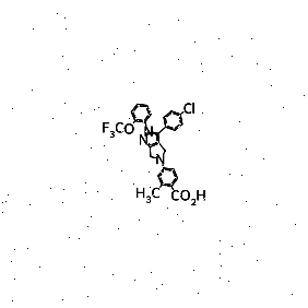 Cc1cc(N2Cc3nn(-c4ccccc4OC(F)(F)F)c(-c4ccc(Cl)cc4)c3C2)ccc1C(=O)O